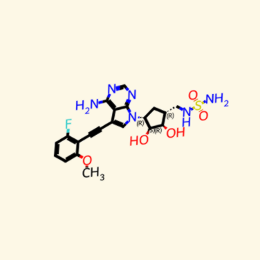 COc1cccc(F)c1C#Cc1cn([C@@H]2C[C@H](CNS(N)(=O)=O)[C@@H](O)[C@H]2O)c2ncnc(N)c12